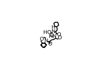 O=CC(CCC(=O)N1CCOCc2ccccc21)NC(=O)C(CC1CCCCC1)NC(=O)O